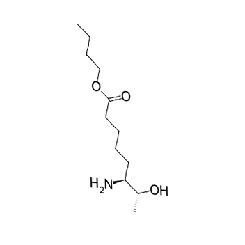 CCCCOC(=O)CCCC[C@H](N)[C@@H](C)O